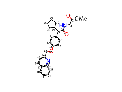 COC(=O)CNC(=O)C(c1ccc(OCc2ccc3ccccc3n2)cc1)C1CCCC1